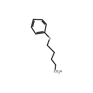 O=C(O)CCCCSc1ccccc1